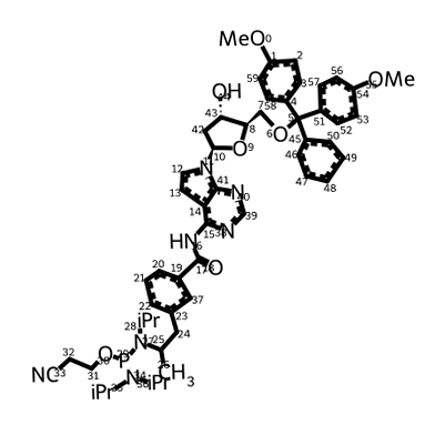 COc1ccc(C(OC[C@H]2O[C@@H](n3ccc4c(NC(=O)c5cccc(CC(C)N(C(C)C)P(OCCC#N)N(C(C)C)C(C)C)c5)ncnc43)C[C@@H]2O)(c2ccccc2)c2ccc(OC)cc2)cc1